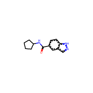 O=C(NC1CCCC1)c1ccc2[nH]ncc2c1